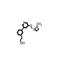 CN1CC[C@@H]1COc1cncc(-c2cccc(CCO)c2)c1